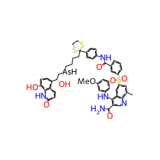 COc1cccc(Nc2c(C(N)=O)cnc3c(C)cc(S(=O)(=O)c4cccc(C(=O)Nc5ccc(C6(CCCC[AsH]C[C@H](O)c7ccc(O)c8[nH]c(=O)ccc78)SCCS6)cc5)c4)cc23)c1